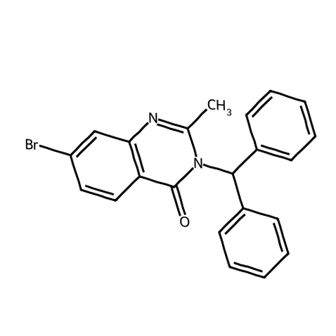 Cc1nc2cc(Br)ccc2c(=O)n1C(c1ccccc1)c1ccccc1